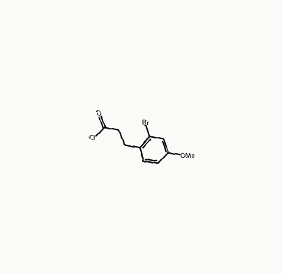 COc1ccc(CCC(=O)Cl)c(Br)c1